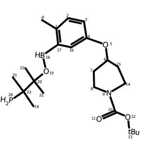 Cc1ccc(OC2CCN(C(=O)OC(C)(C)C)CC2)cc1BOC(C)(C)C(C)(C)P